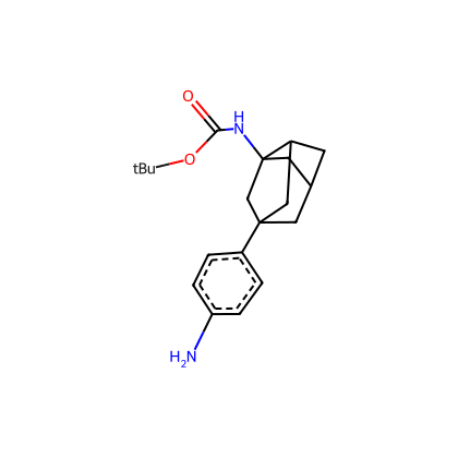 CC(C)(C)OC(=O)NC12CC3CC1CC(c1ccc(N)cc1)(C3)C2